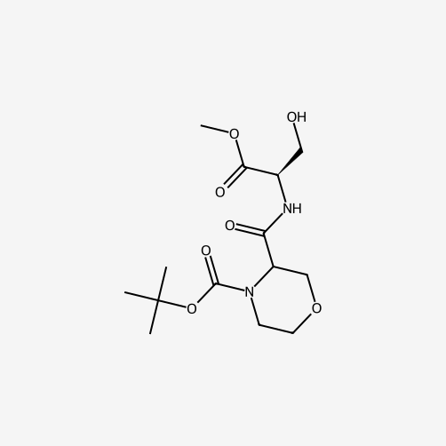 COC(=O)[C@@H](CO)NC(=O)C1COCCN1C(=O)OC(C)(C)C